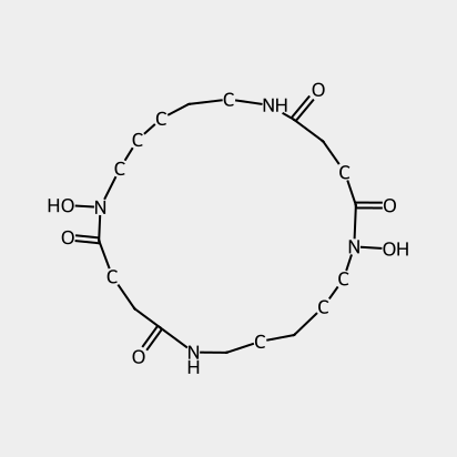 O=C1CCC(=O)N(O)CCCCCNC(=O)CCC(=O)N(O)CCCCCN1